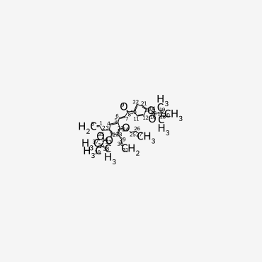 C=CCc1cc(C=CC(=O)c2ccc(OC(=O)C(C)(C)C)cc2)c(OCCC)c(CC=C)c1OC(=O)C(C)(C)C